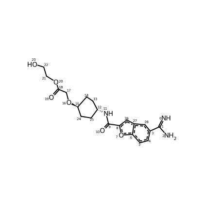 N=C(N)c1ccc2oc(C(=O)N[C@H]3CC[C@H](OCC(=O)OCCO)CC3)cc2c1